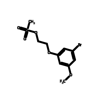 CS(=O)(=O)OCCOc1cc(Br)cc(OC(F)(F)F)c1